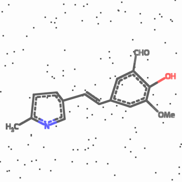 COc1cc(C=Cc2ccc(C)nc2)cc(C=O)c1O